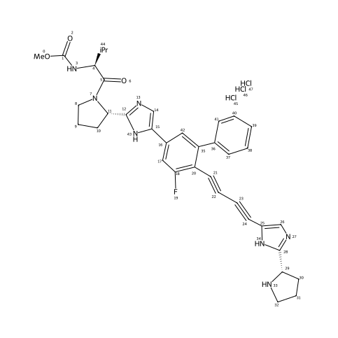 COC(=O)N[C@H](C(=O)N1CCC[C@H]1c1ncc(-c2cc(F)c(C#CC#Cc3cnc([C@@H]4CCCN4)[nH]3)c(-c3ccccc3)c2)[nH]1)C(C)C.Cl.Cl.Cl